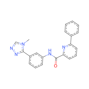 Cn1cnnc1-c1cccc(NC(=O)c2cccc(-c3ccccc3)n2)c1